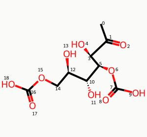 CC(=O)[C@H](O)[C@@H](OC(=O)O)[C@H](O)[C@H](O)COC(=O)O